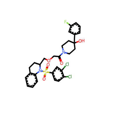 O=C(COCC1CCc2ccccc2N1S(=O)(=O)c1ccc(Cl)c(Cl)c1)N1CCC(O)(c2cccc(F)c2)CC1